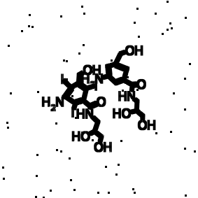 Nc1c(I)c(CO)c(I)c(C(=O)NCC(O)CO)c1I.Nc1cc(CO)cc(C(=O)NCC(O)CO)c1